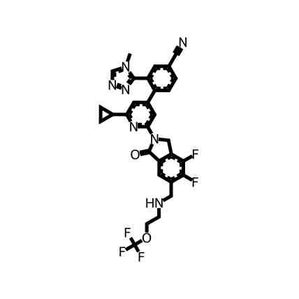 Cn1cnnc1-c1cc(C#N)ccc1-c1cc(C2CC2)nc(N2Cc3c(cc(CNCCOC(F)(F)F)c(F)c3F)C2=O)c1